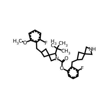 COc1cccc(F)c1CC1CC2(C1)CN(C(=O)Oc1cccc(F)c1CC1CC3(CNC3)C1)C2C(C)(C)C